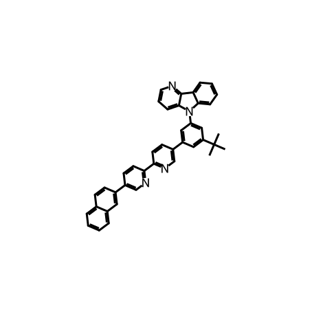 CC(C)(C)c1cc(-c2ccc(-c3ccc(-c4ccc5ccccc5c4)cn3)nc2)cc(-n2c3ccccc3c3ncccc32)c1